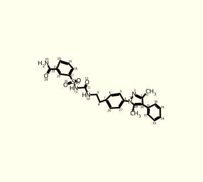 Cc1nn(-c2ccc(CCNC(=O)NS(=O)(=O)c3cccc(C(N)=O)c3)cc2)c(C)c1-c1ccccc1